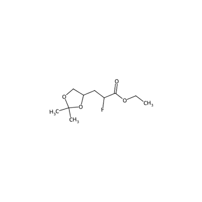 CCOC(=O)C(F)CC1COC(C)(C)O1